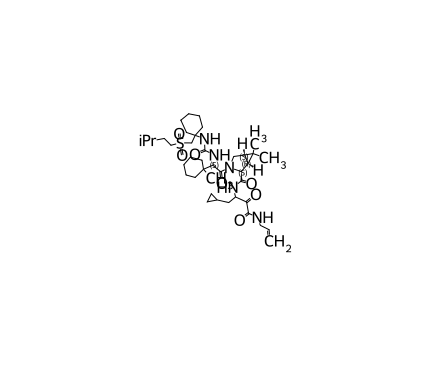 C=CCNC(=O)C(=O)C(CC1CC1)NC(=O)[C@@H]1[C@@H]2[C@H](CN1C(=O)[C@@H](NC(=O)NC1(CS(=O)(=O)CCC(C)C)CCCCC1)C1(C)CCCCC1)C2(C)C